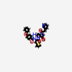 O=C(NC(Cc1cccs1)C(=O)N1CCC2C1C(=O)CN2C(=O)Cc1cccnc1)c1ccc(Oc2ccccc2)cc1